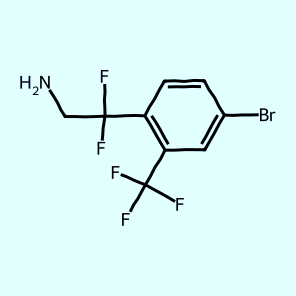 NCC(F)(F)c1ccc(Br)cc1C(F)(F)F